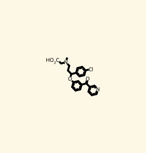 CN(CCC(Oc1cccc(C(=O)c2cccnc2)c1)c1ccc(Cl)cc1)CC(=O)O